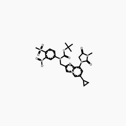 CN1C(=O)CN(c2cc(C3CC3)cn3cc(CN(C(=O)OC(C)(C)C)c4ccc(S(C)(=O)=O)c([N+](=O)[O-])c4)nc23)C1=O